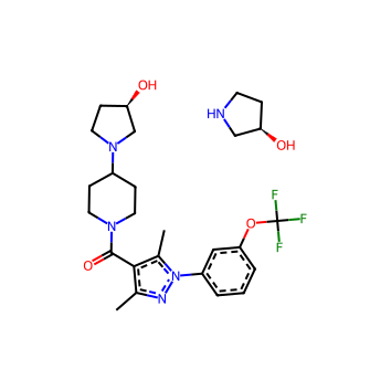 Cc1nn(-c2cccc(OC(F)(F)F)c2)c(C)c1C(=O)N1CCC(N2CC[C@@H](O)C2)CC1.O[C@@H]1CCNC1